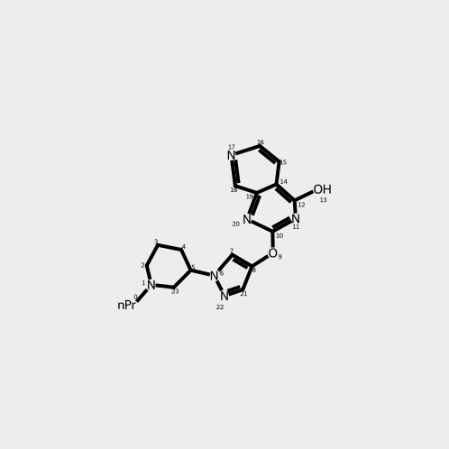 CCCN1CCCC(n2cc(Oc3nc(O)c4ccncc4n3)cn2)C1